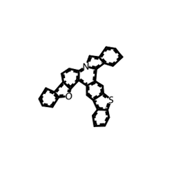 c1ccc2c(c1)cn1c3ccc4c5ccccc5oc4c3c3cc4c(cc3c21)sc1ccccc14